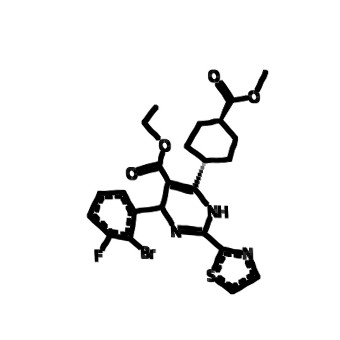 CCOC(=O)C1=C([C@H]2CC[C@H](C(=O)OC)CC2)NC(c2nccs2)=NC1c1cccc(F)c1Br